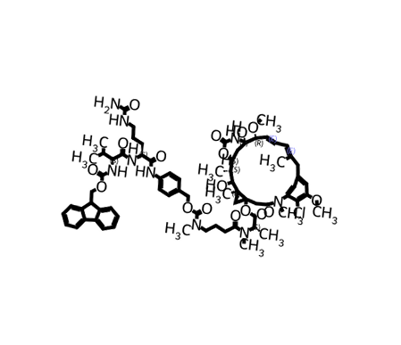 COc1cc2cc(c1Cl)N(C)C(=O)CC1(OC(=O)[C@H](C)N(C)C(=O)CCCN(C)C(=O)OCc3ccc(NC(=O)[C@H](CCCNC(N)=O)NC(=O)[C@@H](NC(=O)OCC4c5ccccc5-c5ccccc54)C(C)C)cc3)C[C@]1(C)C(O)[C@H](C)[C@@H]1C[C@@](O)(NC(=O)O1)[C@H](OC)/C=C/C=C(\C)C2